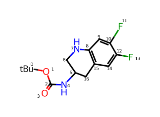 CC(C)(C)OC(=O)NC1CNc2cc(F)c(F)cc2C1